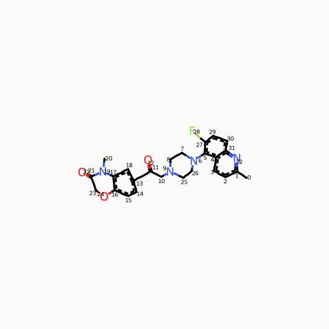 Cc1ccc2c(N3CCN(CC(=O)c4ccc5c(c4)N(C)C(=O)CO5)CC3)c(F)ccc2n1